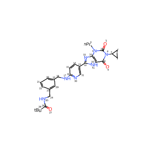 CCCn1c(=O)n(C2CC2)c(=O)c2[nH]c(-c3ccc(NCc4cccc(CNC(=O)C(C)(C)C)c4)nc3)nc21